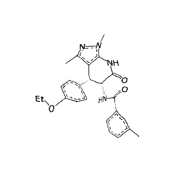 CCOc1ccc([C@@H]2c3c(C)nn(C)c3NC(=O)[C@@H]2NC(=O)c2cccc(C)c2)cc1